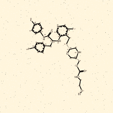 CCOCCNC(=O)OC[C@@H]1CO[C@H](CCc2c(F)cncc2N[C@@H](Cc2ccc(F)cc2)C(=O)Nc2ccc(F)cc2)CN1